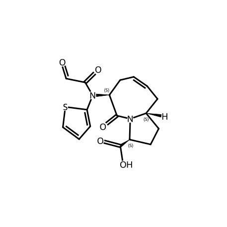 O=CC(=O)N(c1cccs1)[C@H]1CC=CC[C@@H]2CC[C@@H](C(=O)O)N2C1=O